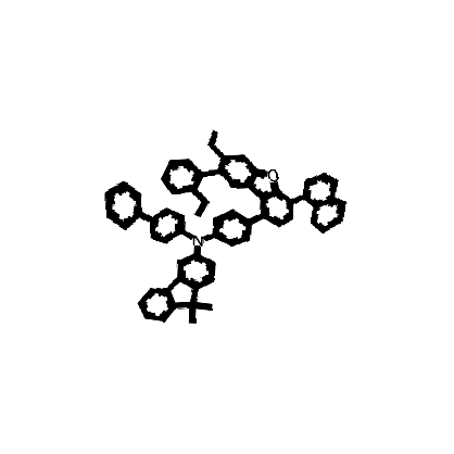 CCc1ccccc1-c1cc2c(cc1CC)oc1c(-c3cccc4ccccc34)ccc(-c3ccc(N(c4ccc(-c5ccccc5)cc4)c4ccc5c(c4)-c4ccccc4C5(C)C)cc3)c12